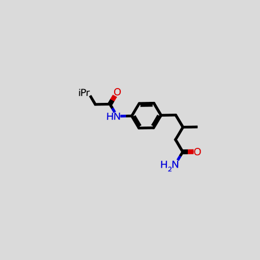 CC(C)CC(=O)Nc1ccc(CC(C)CC(N)=O)cc1